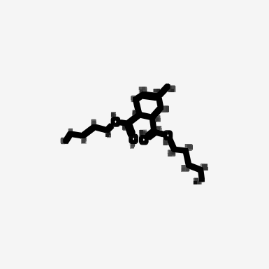 CCCCCOC(=O)C1CC=C(C)CC1C(=O)OCCCCC